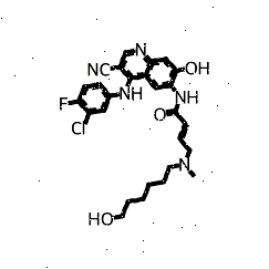 CN(C/C=C/C(=O)Nc1cc2c(Nc3ccc(F)c(Cl)c3)c(C#N)cnc2cc1O)CCCCCCO